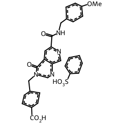 COc1ccc(CNC(=O)c2cc3c(=O)n(Cc4ccc(C(=O)O)cc4)cnc3cn2)cc1.O=S(=O)(O)c1ccccc1